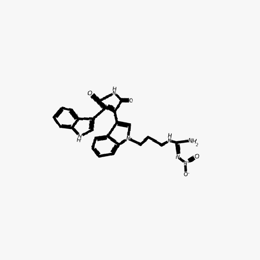 NC(=N[N+](=O)[O-])NCCCn1cc(C2=C(c3c[nH]c4ccccc34)C(=O)NC2=O)c2ccccc21